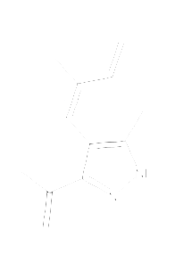 C=C/C(C)=C\c1c(C(=C)C)n[nH]c1C